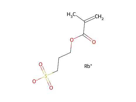 C=C(C)C(=O)OCCCS(=O)(=O)[O-].[Rb+]